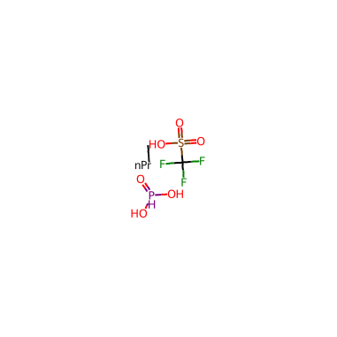 CCCC.O=S(=O)(O)C(F)(F)F.O=[PH](O)O